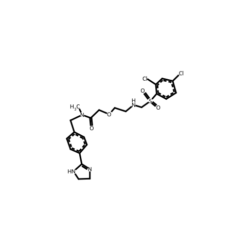 CN(Cc1ccc(C2=NCCN2)cc1)C(=O)COCCNCS(=O)(=O)c1ccc(Cl)cc1Cl